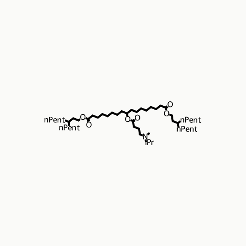 CCCCCC(CCCCC)CCOC(=O)CCCCCCCC(CCCCCCCC(=O)OCCC(CCCCC)CCCCC)OC(=O)CCCN(C)C(C)C